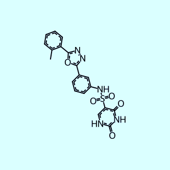 Cc1ccccc1-c1nnc(-c2cccc(NS(=O)(=O)c3c[nH]c(=O)[nH]c3=O)c2)o1